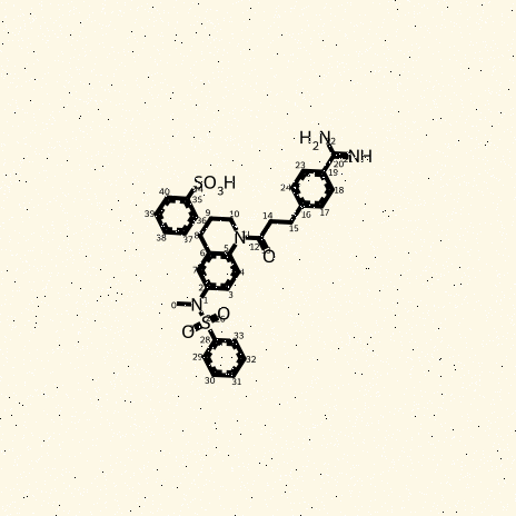 CN(c1ccc2c(c1)CCCN2C(=O)CCc1ccc(C(=N)N)cc1)S(=O)(=O)c1ccccc1.O=S(=O)(O)c1ccccc1